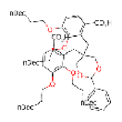 CCCCCCCCCCCCOc1ccc(C(=O)O)c(CC2(Cc3c(C(=O)O)ccc(OCCCCCCCCCCCC)c3OCCCCCCCCCCCC)COC(c3ccccc3)OC2)c1OCCCCCCCCCCCC